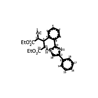 CCOC(=O)C(C(C)=O)C(c1ccccc1-c1nc(-c2ccccc2)cs1)C(C(C)=O)C(=O)OCC